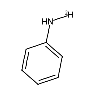 [2H]Nc1ccccc1